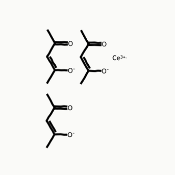 CC(=O)C=C(C)[O-].CC(=O)C=C(C)[O-].CC(=O)C=C(C)[O-].[Ce+3]